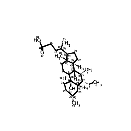 CC[C@H]1[C@@H](O)[C@@H]2[C@H](CC[C@]3(C)[C@@H]([C@H](C)CCC(=O)O)CC[C@@H]23)[C@@]2(C)CC[C@@H](C)C[C@@H]12